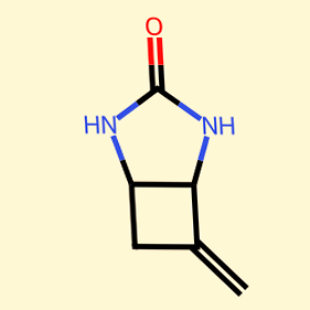 C=C1CC2NC(=O)NC12